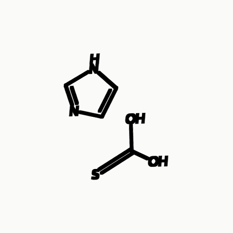 OC(O)=S.c1c[nH]cn1